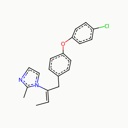 CC=C(Cc1ccc(Oc2ccc(Cl)cc2)cc1)n1ccnc1C